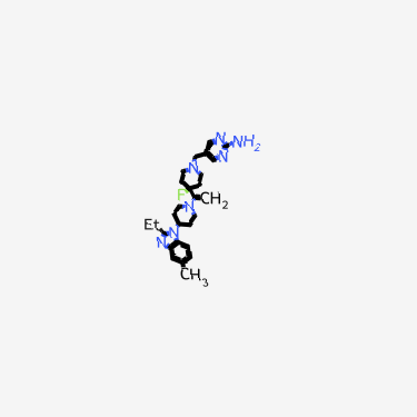 C=C(N1CCC(n2c(CC)nc3cc(C)ccc32)CC1)C1(F)CCN(Cc2cnc(N)nc2)CC1